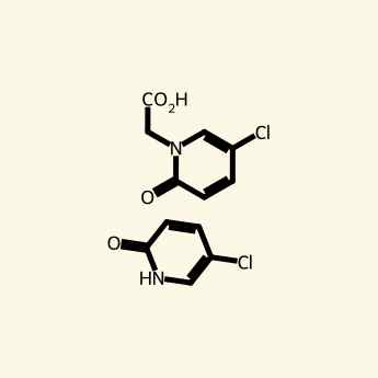 O=C(O)Cn1cc(Cl)ccc1=O.O=c1ccc(Cl)c[nH]1